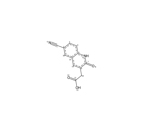 N#Cc1ccc2[nH]c(=O)c(CC(=O)O)cc2c1